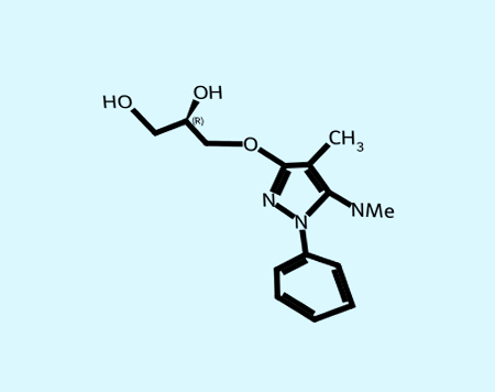 CNc1c(C)c(OC[C@H](O)CO)nn1-c1ccccc1